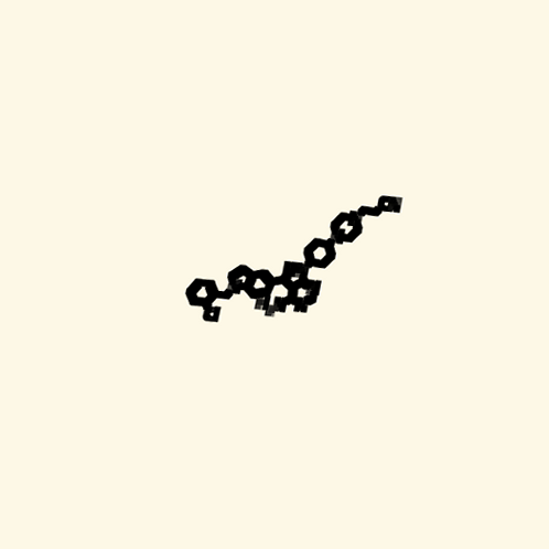 N#CCCN1CCN(C2CCC(n3nc(-c4ccc5c(ccn5Cc5ccccc5Cl)c4)c4c(N)ncnc43)CC2)CC1